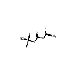 C=C(F)CC(=O)OC(F)(F)C#N